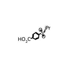 CC(C)CS(=O)(=O)c1ccc(C(=O)O)cc1